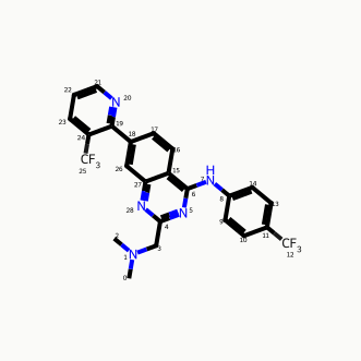 CN(C)Cc1nc(Nc2ccc(C(F)(F)F)cc2)c2ccc(-c3ncccc3C(F)(F)F)cc2n1